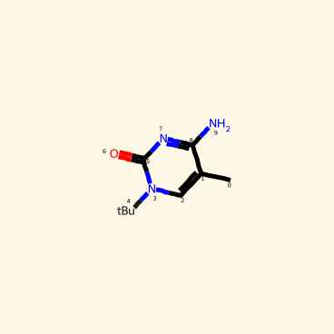 Cc1cn(C(C)(C)C)c(=O)nc1N